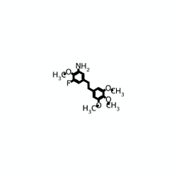 COc1cc(CCc2cc(N)c(OC)c(F)c2)cc(OC)c1OC